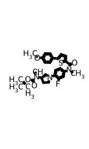 COc1ccc(-c2ccc(C(=O)N(C)c3ccc(N4CCC(N(C)C(=O)OC(C)(C)C)C4)c(F)c3)s2)cc1